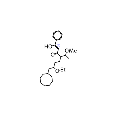 CCOC(CCC(C(=O)/C=C(\O)c1ccccc1)C(C)OC)CC1CCCCCCC1